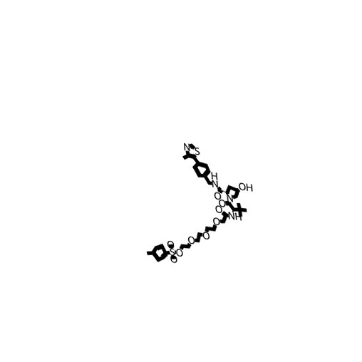 Cc1ccc(S(=O)(=O)OCCOCCOCCOCC(=O)N[C@H](C(=O)N2CC(O)C[C@H]2C(=O)NCc2ccc(-c3scnc3C)cc2)C(C)(C)C)cc1